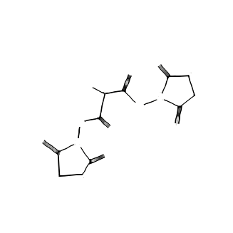 O=C(ON1C(=O)CCC1=O)C(O)C(=O)ON1C(=O)CCC1=O